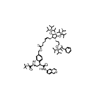 CC(C)[Si](O[C@@H](CCc1ccccc1)CC[C@@H]1[C@@H](C/C=C\CCCC(=O)OCc2ccc(C(CNC(=O)OC(C)(C)C)C(=O)Nc3ccc4cnccc4c3)cc2)[C@@H](O[Si](C(C)C)(C(C)C)C(C)C)C[C@H]1O[Si](C(C)C)(C(C)C)C(C)C)(C(C)C)C(C)C